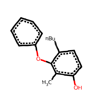 CCCCc1ccc(O)c(C)c1Oc1ccccc1